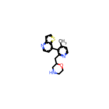 Cc1ccnc(CC2CNCCO2)c1-c1ccnc2ccsc12